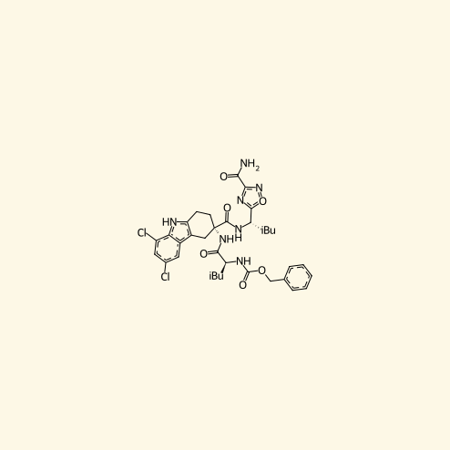 CCC(C)[C@H](NC(=O)OCc1ccccc1)C(=O)N[C@@]1(C(=O)N[C@H](c2nc(C(N)=O)no2)C(C)CC)CCc2[nH]c3c(Cl)cc(Cl)cc3c2C1